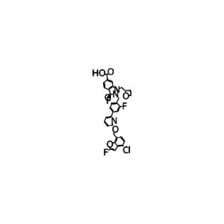 O=C(O)c1ccc2c(=O)n(Cc3c(F)cc(-c4cccc(OCc5ccc(Cl)c6cc(F)oc56)n4)cc3F)n(CC3CCO3)c2c1